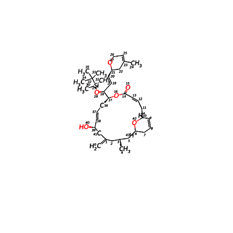 C=C1C[C@H](C)C[C@@H]2CC=C[C@@H](C/C=C\C(=O)O[C@H]([C@H](/C=C/[C@@H]3CC(C)=CCO3)O[Si](C)(C)C(C)(C)C)C/C=C/[C@H](O)C1)O2